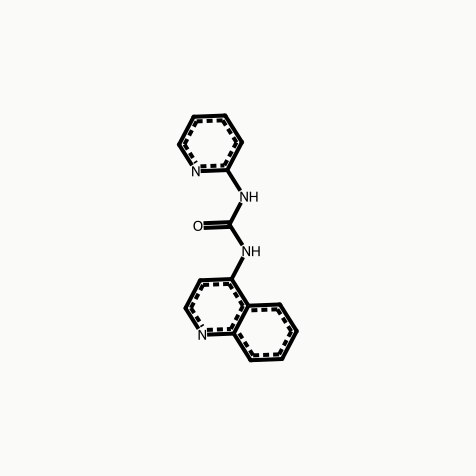 O=C(Nc1ccccn1)Nc1ccnc2ccccc12